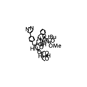 COC(=O)N[C@H](C(=O)NN(Cc1ccccc1)C[C@H](O)[C@H](Cc1ccc(-c2cncnc2)cc1)NC(=O)O[C@H]1CO[C@H]2OCC[C@H]21)C(C)(C)C